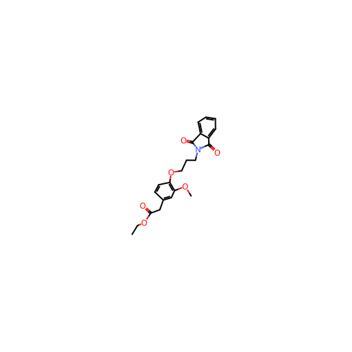 CCOC(=O)Cc1ccc(OCCCN2C(=O)c3ccccc3C2=O)c(OC)c1